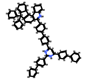 c1ccc(-c2ccc(-c3cc(-c4ccc(-c5ccc(-c6nc7ccccc7c7c8c(ccc67)C(c6ccccc6)(c6ccccc6)c6ccccc6-8)cc5)cc4)nc(-c4ccc(-c5ccccc5)cc4)n3)cc2)cc1